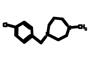 CN1CCCN(Cc2ccc(Cl)cc2)CC1